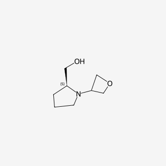 OC[C@@H]1CCCN1C1COC1